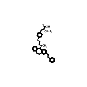 COC(Cc1ccc(OCCN(C)C2c3ccccc3CCc3cc(CCc4ccccc4)ccc32)cc1)C(=O)O